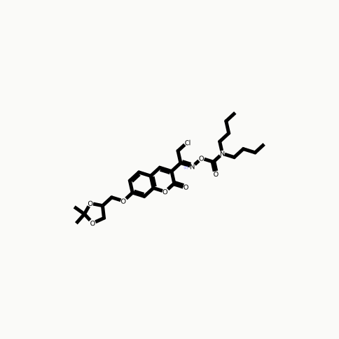 CCCCN(CCCC)C(=O)O/N=C(\CCl)c1cc2ccc(OCC3COC(C)(C)O3)cc2oc1=O